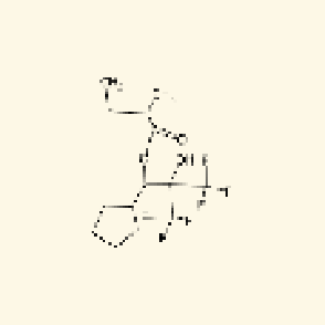 CCC(C)C(=O)OC(C1CCCC1)C(O)(C(F)(F)F)C(F)(F)F